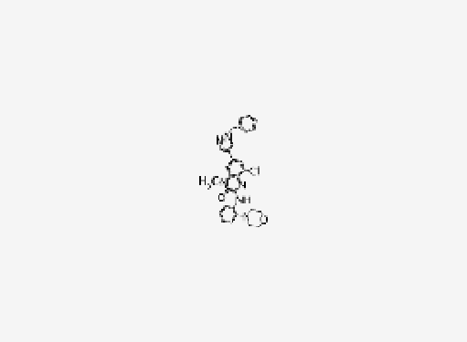 Cn1c(=O)c(Nc2ccccc2N2CCOCC2)nc2c(Cl)cc(-c3cnn(Cc4ccccc4)c3)cc21